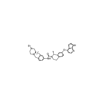 CCN1CCN(Cc2ccc(NC(=O)N3CCc4ccc(Oc5ccnc6[nH]ccc56)cc4[C@@H]3C)cc2C(F)(F)F)CC1